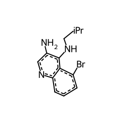 CC(C)CNc1c(N)cnc2cccc(Br)c12